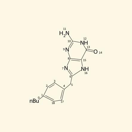 CCCCc1ccc(Cc2nc3nc(N)[nH]c(=O)c3[nH]2)cc1